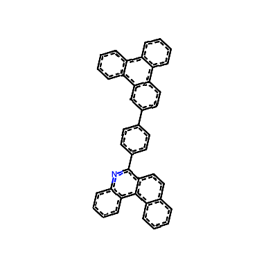 c1ccc2c(c1)ccc1c(-c3ccc(-c4ccc5c6ccccc6c6ccccc6c5c4)cc3)nc3ccccc3c12